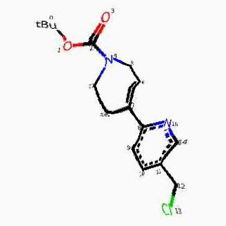 CC(C)(C)OC(=O)N1CC=C(c2ccc(CCl)cn2)CC1